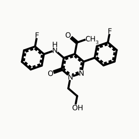 CC(=O)c1c(-c2cccc(F)c2)nn(CCO)c(=O)c1Nc1ccccc1F